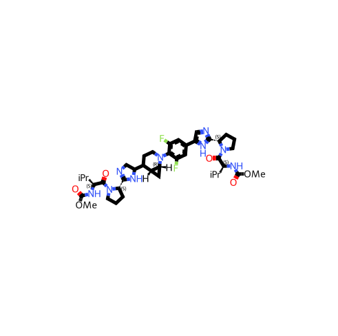 COC(=O)N[C@H](C(=O)N1CCC[C@H]1C1=NCC(C2CCN(c3c(F)cc(-c4cnc([C@@H]5CCCN5C(=O)[C@@H](NC(=O)OC)C(C)C)[nH]4)cc3F)[C@@H]3C[C@H]23)N1)C(C)C